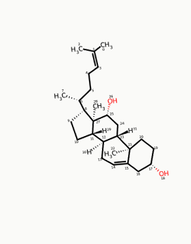 CC(C)=CCC[C@@H](C)[C@H]1CC[C@H]2[C@@H]3CC=C4C[C@@H](O)CC[C@]4(C)[C@H]3C[C@@H](O)[C@]12C